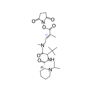 C/C(=C\CN(C)C(=O)C(NC(=O)[C@H]1CCCCN1C(C)C)C(C)(C)C)C(=O)ON1C(=O)CCC1=O